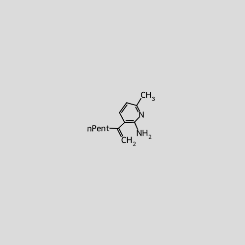 C=C(CCCCC)c1ccc(C)nc1N